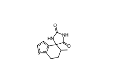 CC1CCc2sccc2C12NC(=O)NC2=O